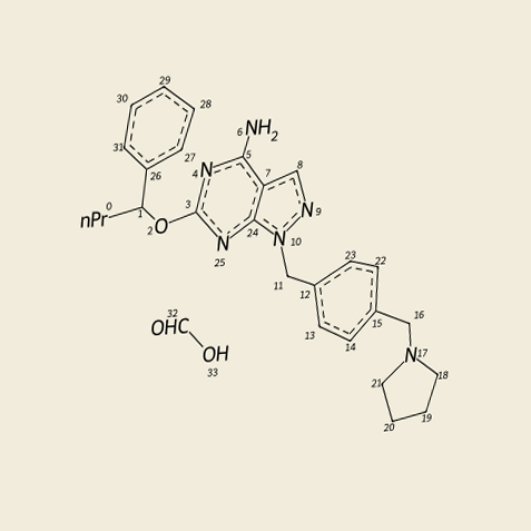 CCCC(Oc1nc(N)c2cnn(Cc3ccc(CN4CCCC4)cc3)c2n1)c1ccccc1.O=CO